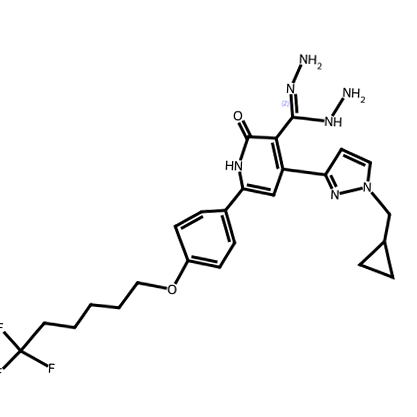 N/N=C(\NN)c1c(-c2ccn(CC3CC3)n2)cc(-c2ccc(OCCCCCC(F)(F)F)cc2)[nH]c1=O